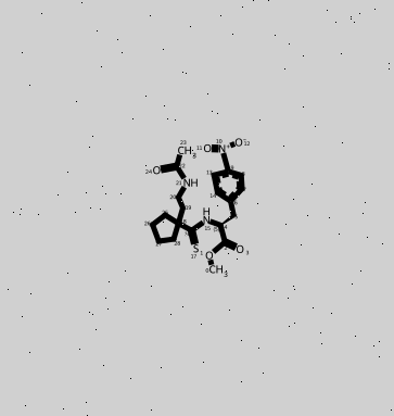 COC(=O)[C@H](Cc1ccc([N+](=O)[O-])cc1)NC(=S)C1(CCNC(C)=O)CCCC1